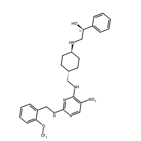 O=[N+]([O-])c1cnc(NCc2ccccc2OC(F)(F)F)nc1NC[C@H]1CC[C@H](NC[C@@H](O)c2ccccc2)CC1